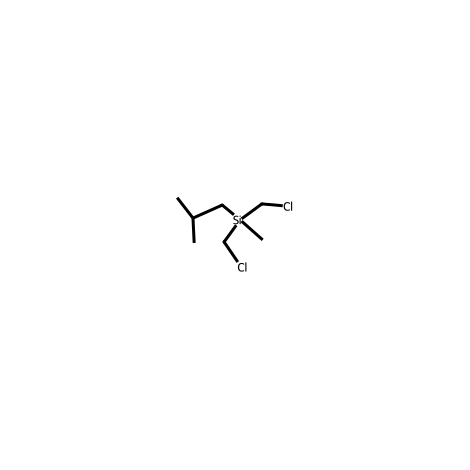 CC(C)C[Si](C)(CCl)CCl